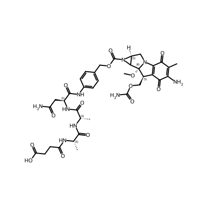 CO[C@]12C3[C@H](CN1C1=C(C(=O)C(N)=C(C)C1=O)[C@H]2COC(N)=O)N3C(=O)OCc1ccc(NC(=O)[C@H](CC(N)=O)NC(=O)[C@H](C)NC(=O)[C@H](C)NC(=O)CCC(=O)O)cc1